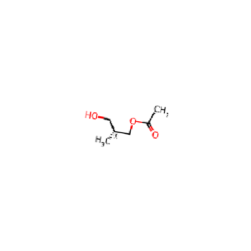 CC(=O)OC[C@H](C)CO